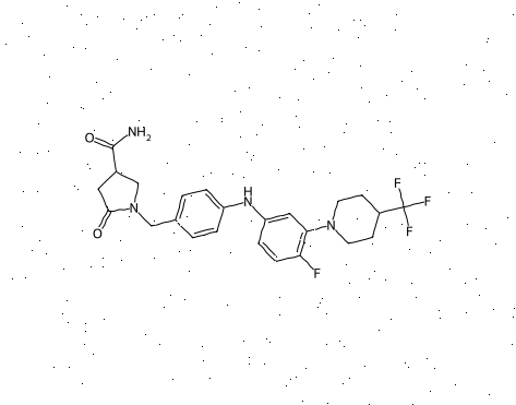 NC(=O)C1CC(=O)N(Cc2ccc(Nc3ccc(F)c(N4CCC(C(F)(F)F)CC4)c3)cc2)C1